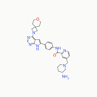 N[C@@H]1CCCN(Cc2ccnc(C(=O)Nc3ccc(-c4cc5c(N6CC7(CCOCC7)C6)ncnc5[nH]4)cc3)c2)C1